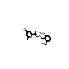 COc1cccc(OC)c1CO/N=C(\C)c1cc(Cl)cc(C)n1